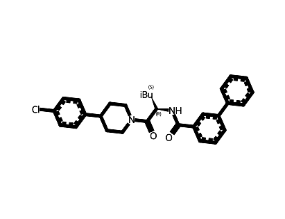 CC[C@H](C)[C@@H](NC(=O)c1cccc(-c2ccccc2)c1)C(=O)N1CCC(c2ccc(Cl)cc2)CC1